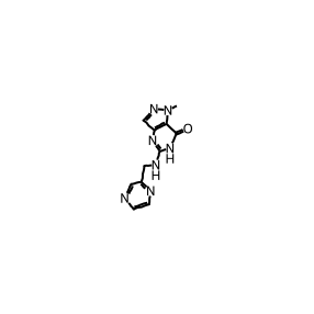 Cn1ncc2nc(NCc3cnccn3)[nH]c(=O)c21